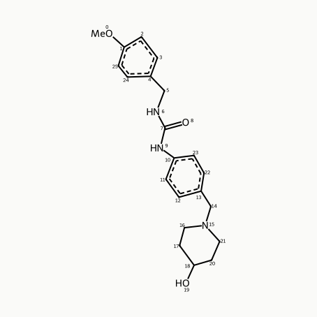 COc1ccc(CNC(=O)Nc2ccc(CN3CCC(O)CC3)cc2)cc1